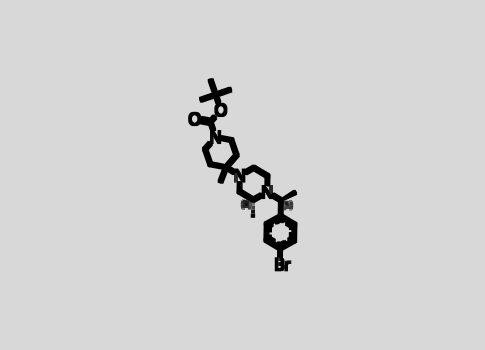 C[C@@H]1CN(C2(C)CCN(C(=O)OC(C)(C)C)CC2)CCN1[C@@H](C)c1ccc(Br)cc1